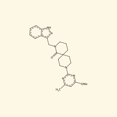 COc1cc(C)nc(N2CCC3(CCCN(Cc4n[nH]c5ccccc45)C3=O)CC2)n1